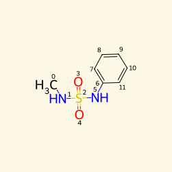 CNS(=O)(=O)Nc1ccccc1